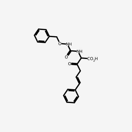 O=C(NOCc1ccccc1)NC(C(=O)O)C(=O)CC=Cc1ccccc1